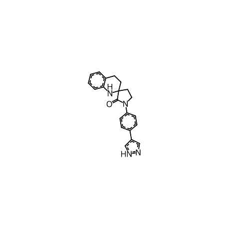 O=C1N(c2ccc(-c3cn[nH]c3)cc2)CCC12CCc1ccccc1N2